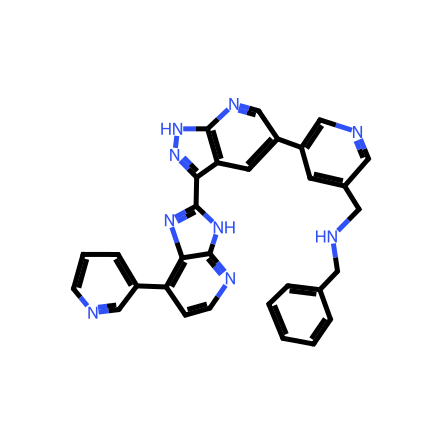 c1ccc(CNCc2cncc(-c3cnc4[nH]nc(-c5nc6c(-c7cccnc7)ccnc6[nH]5)c4c3)c2)cc1